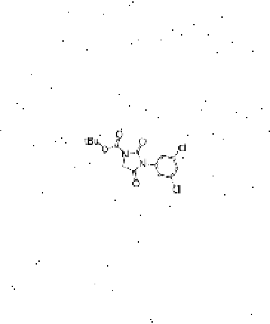 CC(C)(C)OC(=O)N1CC(=O)N(c2cc(Cl)cc(Cl)c2)C1=O